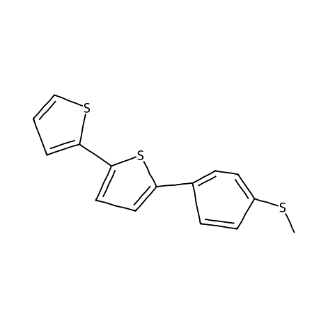 CSc1ccc(-c2ccc(-c3cccs3)s2)cc1